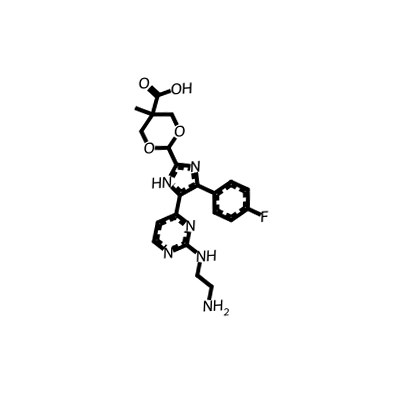 CC1(C(=O)O)COC(c2nc(-c3ccc(F)cc3)c(-c3ccnc(NCCN)n3)[nH]2)OC1